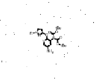 CCn1ccc(Oc2ncc(N)cc2N(C(=O)OC(C)(C)C)C(=O)OC(C)(C)C)n1